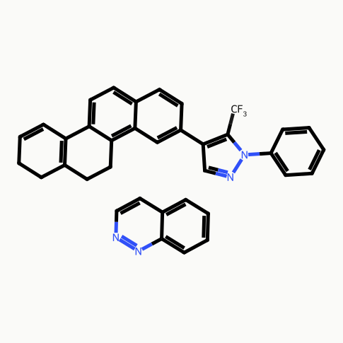 FC(F)(F)c1c(-c2ccc3ccc4c(c3c2)CCC2=C4C=CCC2)cnn1-c1ccccc1.c1ccc2nnccc2c1